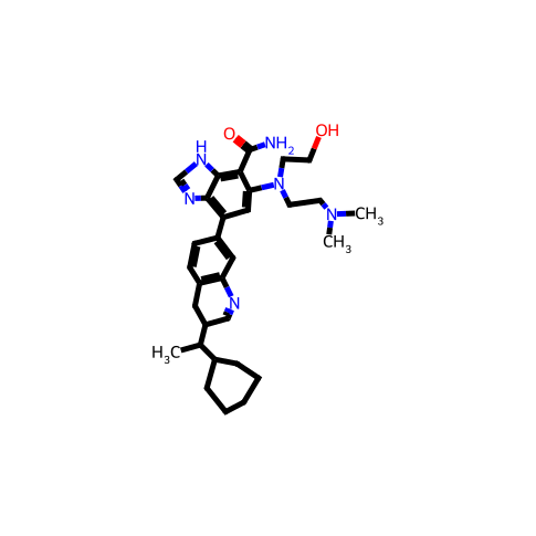 CC(C1C=Nc2cc(-c3cc(N(CCO)CCN(C)C)c(C(N)=O)c4[nH]cnc34)ccc2C1)C1CCCCC1